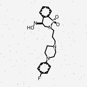 O=S1(=O)c2ccccc2/C(=N/O)CN1CCCN1CCN(c2ccc(F)cc2)CC1